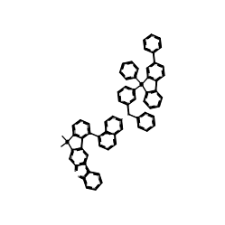 CC1(C)c2cc3oc4ccccc4c3cc2-c2c(-c3cccc4cc([C@H](c5ccccc5)c5cccc(C6(c7ccccc7)c7ccccc7-c7ccc(-c8ccccc8)cc76)c5)ccc34)cccc21